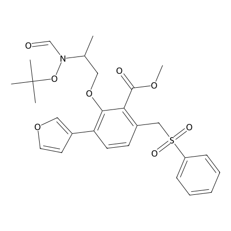 COC(=O)c1c(CS(=O)(=O)c2ccccc2)ccc(-c2ccoc2)c1OCC(C)N(C=O)OC(C)(C)C